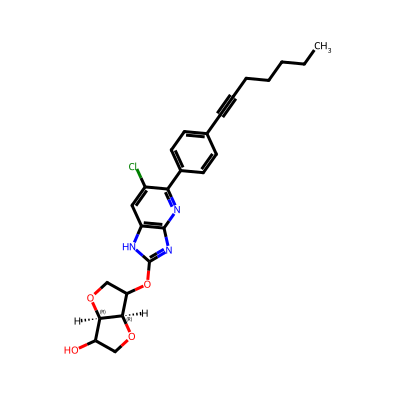 CCCCCC#Cc1ccc(-c2nc3nc(OC4CO[C@@H]5C(O)CO[C@H]45)[nH]c3cc2Cl)cc1